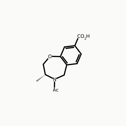 CC(=O)N1Cc2ccc(C(=O)O)cc2OC[C@H]1C